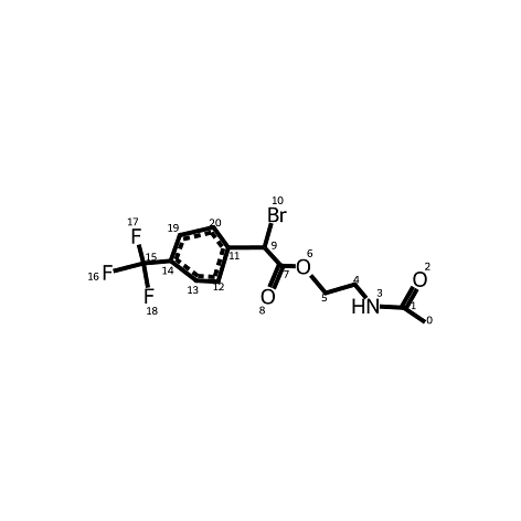 CC(=O)NCCOC(=O)C(Br)c1ccc(C(F)(F)F)cc1